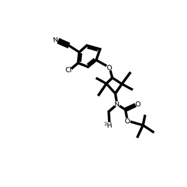 [2H]CN(C(=O)OC(C)(C)C)C1C(C)(C)C(Oc2ccc(C#N)c(Cl)c2)C1(C)C